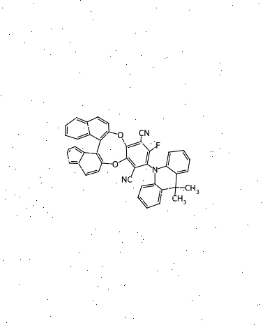 CC1(C)c2ccccc2N(c2c(F)c(C#N)c3oc4ccc5ccccc5c4c4c(ccc5ccccc54)oc3c2C#N)c2ccccc21